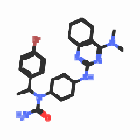 CC(c1ccc(Br)cc1)N(C(N)=O)C1CCC(Nc2nc3c(c(N(C)C)n2)CCCC3)CC1